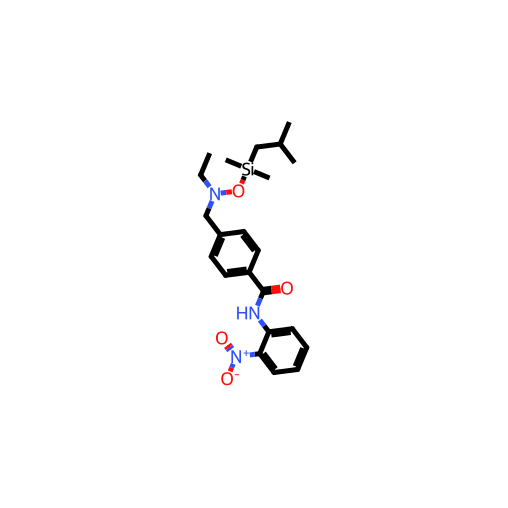 CCN(Cc1ccc(C(=O)Nc2ccccc2[N+](=O)[O-])cc1)O[Si](C)(C)CC(C)C